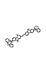 C=C1C=C(/C=C/c2ccc3c(c2)C(C)(C)c2cc(N4CCCc5ccccc54)ccc2-3)C=C2C1c1ccc(N3c4ccccc4Sc4ccccc43)cc1C2(C)C